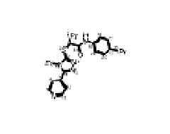 CCCC(Sc1nnc(-c2ccncc2)n1CC)C(=O)Nc1ccc(C(C)C)cc1